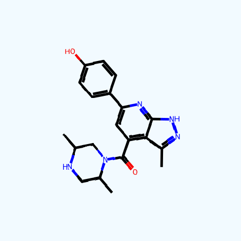 Cc1n[nH]c2nc(-c3ccc(O)cc3)cc(C(=O)N3CC(C)NCC3C)c12